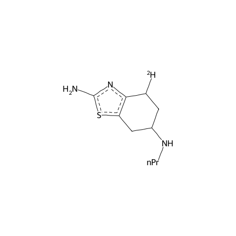 [2H]C1CC(NCCC)Cc2sc(N)nc21